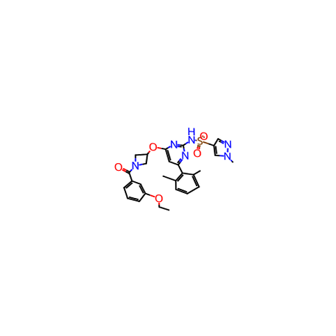 CCOc1cccc(C(=O)N2CC(Oc3cc(-c4c(C)cccc4C)nc(NS(=O)(=O)c4cnn(C)c4)n3)C2)c1